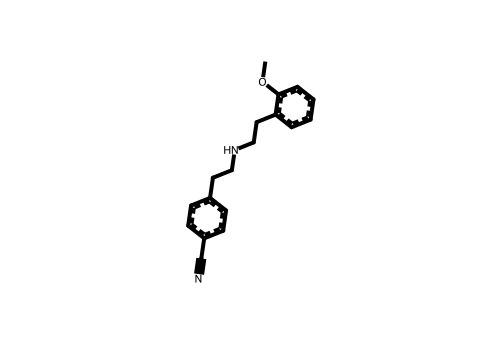 COc1ccccc1CCNCCc1ccc(C#N)cc1